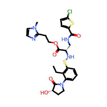 CCc1c(SN[C@@H](CNC(=O)c2ccc(Cl)s2)C(=O)OCCc2nccn2C)cccc1N1CC[C@H](O)C1=O